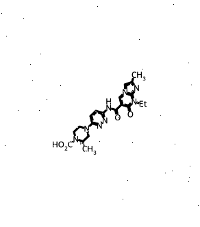 CCn1c(=O)c(C(=O)Nc2ccc(N3CCN(C(=O)O)[C@@H](C)C3)nn2)cn2cc(C)nc12